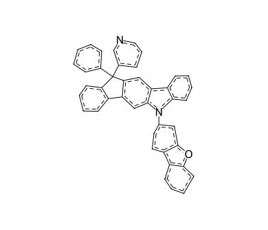 c1ccc(C2(c3cccnc3)c3ccccc3-c3cc4c(cc32)c2ccccc2n4-c2ccc3c(c2)oc2ccccc23)cc1